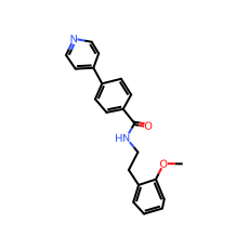 COc1ccccc1CCNC(=O)c1ccc(-c2ccncc2)cc1